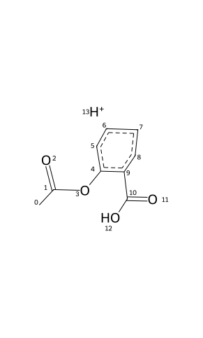 CC(=O)Oc1ccccc1C(=O)O.[H+]